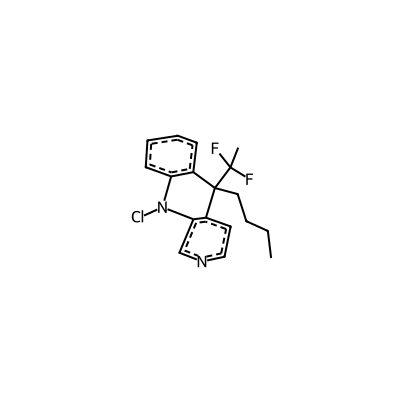 CCCCC1(C(C)(F)F)c2ccccc2N(Cl)c2cnccc21